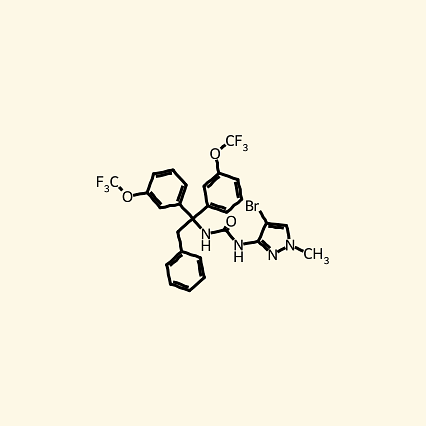 Cn1cc(Br)c(NC(=O)NC(Cc2ccccc2)(c2cccc(OC(F)(F)F)c2)c2cccc(OC(F)(F)F)c2)n1